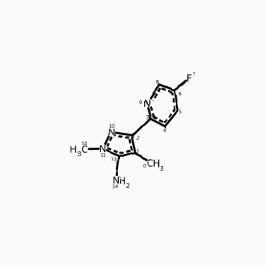 Cc1c(-c2ccc(F)cn2)nn(C)c1N